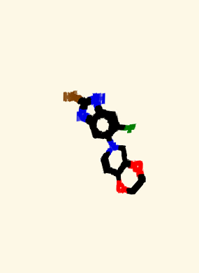 Fc1cc2[nH]c(S)nc2cc1N1CCC2OCCOC2C1